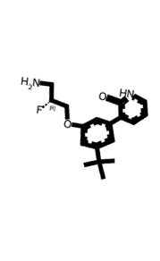 CC(C)(C)c1cc(OC[C@H](F)CN)cc(-c2ccc[nH]c2=O)c1